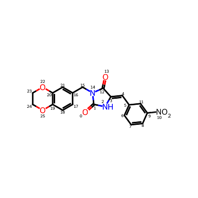 O=C1NC(=Cc2cccc([N+](=O)[O-])c2)C(=O)N1Cc1ccc2c(c1)OCCO2